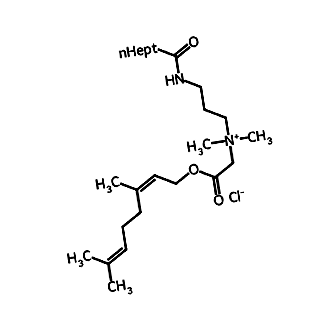 CCCCCCCC(=O)NCCC[N+](C)(C)CC(=O)OCC=C(C)CCC=C(C)C.[Cl-]